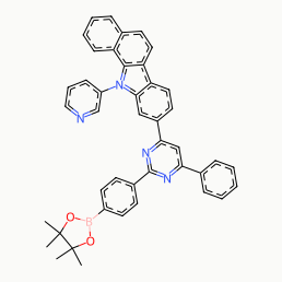 CC1(C)OB(c2ccc(-c3nc(-c4ccccc4)cc(-c4ccc5c6ccc7ccccc7c6n(-c6cccnc6)c5c4)n3)cc2)OC1(C)C